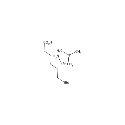 CC(C)(C)CCCCCC(=O)O.CCCN.CN(C)C